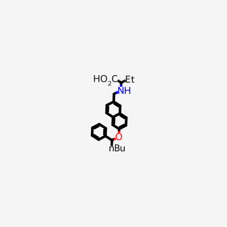 CCCCC(Oc1ccc2cc(CNC(CC)C(=O)O)ccc2c1)c1ccccc1